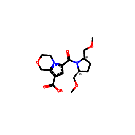 COC[C@H]1CC[C@H](COC)N1C(=O)c1cc(C(=O)O)c2n1CCOC2